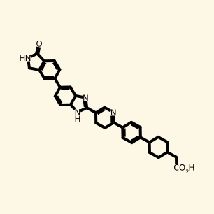 O=C(O)CC1CCC(c2ccc(C3=NC=C(C4=NC5C=C(c6ccc7c(c6)CNC7=O)C=CC5N4)CC3)cc2)CC1